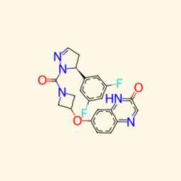 O=C(N1CC(Oc2ccc3ncc(=O)[nH]c3c2)C1)N1N=CC[C@H]1c1cc(F)cc(F)c1